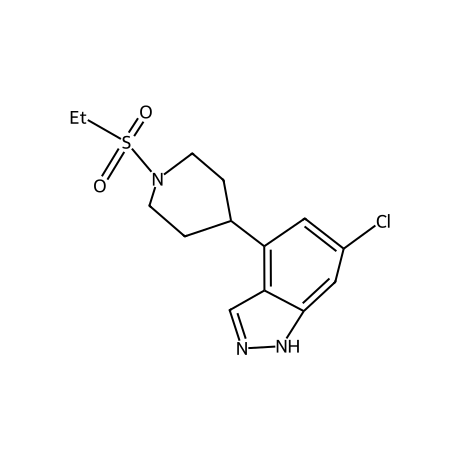 CCS(=O)(=O)N1CCC(c2cc(Cl)cc3[nH]ncc23)CC1